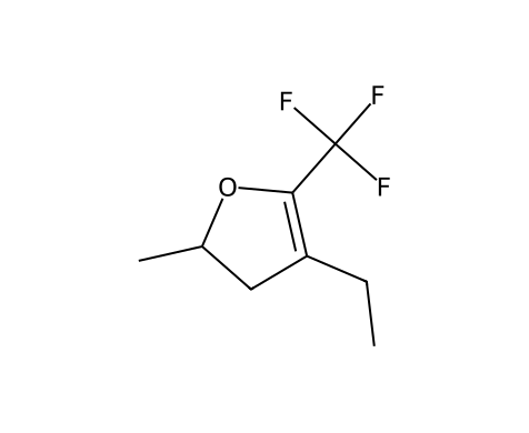 CCC1=C(C(F)(F)F)OC(C)C1